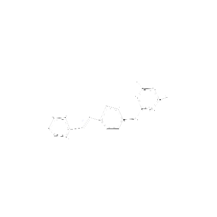 Clc1nc(Cl)nc(Nc2ccc(/C=C/c3ccccc3)cc2)n1